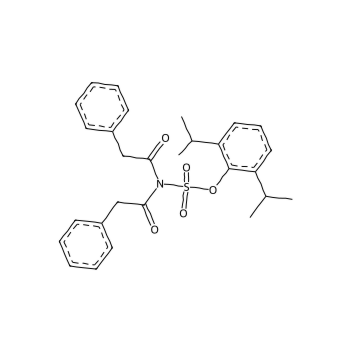 CC(C)c1cccc(C(C)C)c1OS(=O)(=O)N(C(=O)Cc1ccccc1)C(=O)Cc1ccccc1